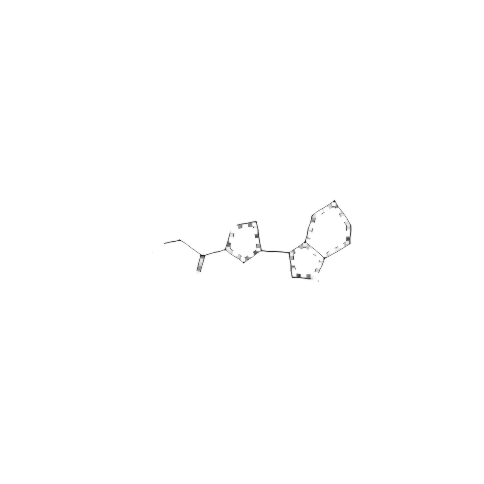 O=C(O)CC(=O)c1cc(-c2c[nH]c3ccccc23)cs1